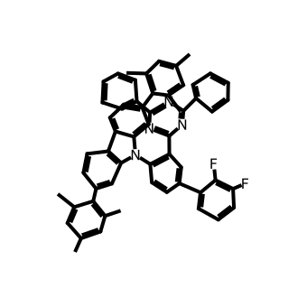 Cc1cc(C)c(-c2ccc3c4ccc(-c5c(C)cc(C)cc5C)cc4n(-c4ccc(-c5cccc(F)c5F)cc4-c4nc(-c5ccccc5)nc(-c5ccccc5)n4)c3c2)c(C)c1